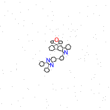 c1ccc(-c2nc3ccc(-c4cccc(-c5nc6ccccc6c6cc7c(cc56)-c5ccccc5C75c6ccccc6Oc6ccccc65)c4)cc3nc2-c2ccccc2)cc1